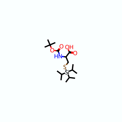 CC(C)[Si](SCC(NC(=O)OC(C)(C)C)C(=O)O)(C(C)C)C(C)C